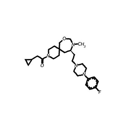 CN1COCC2(CCN(C(=O)CC3CC3)CC2)C[C@@H]1CCN1CCN(c2ccc(F)cc2)CC1